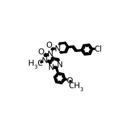 COc1cccc(-c2ncc3c(n2)n(C)c(=O)n3C(=O)N2CC=C(C=Cc3ccc(Cl)cc3)CC2)c1